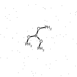 POB(OP)OP